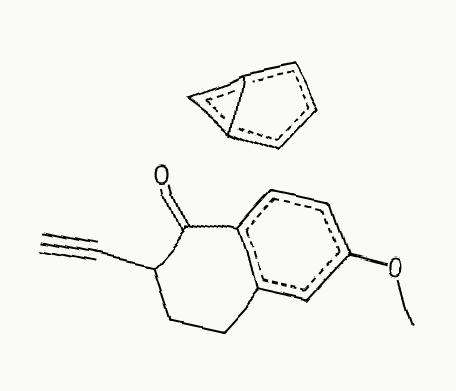 C#CC1CCc2cc(OC)ccc2C1=O.c1cc2cc-2c1